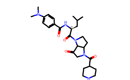 CC(C)C[C@H](NC(=O)c1ccc(N(C)C)cc1)C(=O)N1CCC2C1C(=O)CN2C(=O)C1CCNCC1